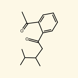 CC(=O)c1ccccc1C(=O)CC(C)C(C)C